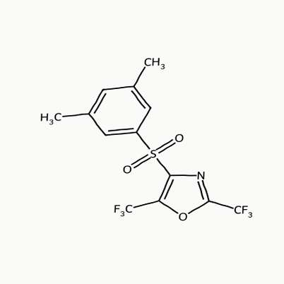 Cc1cc(C)cc(S(=O)(=O)c2nc(C(F)(F)F)oc2C(F)(F)F)c1